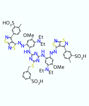 CCN(CC)c1cc(Nc2nc(Nc3cc(N(CC)CC)c(OC)cc3/N=N/c3snc4snc(-c5ccc(C)c(S(=O)(=O)O)c5)c34)nc(SCc3cccc(S(=O)(=O)O)c3)n2)c(/N=N/c2snc3snc(-c4ccc(C)c(S(=O)(=O)O)c4)c23)cc1OC